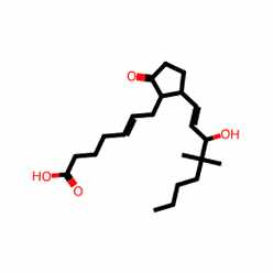 CCCCC(C)(C)C(O)/C=C/C1CCC(=O)C1C/C=C/CCCC(=O)O